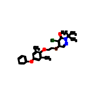 Cc1cc(Oc2ccccc2)cc(C)c1OCCSc1cnn(C(C)(C)C)c(=O)c1Cl